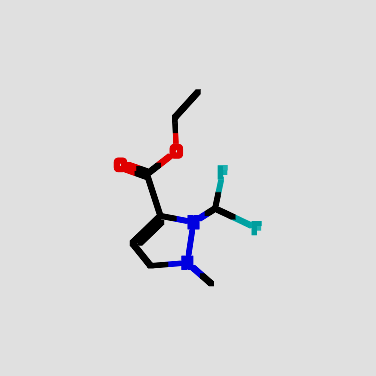 CCOC(=O)C1=CCN(C)N1C(F)F